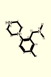 Cc1ccc(N2CCNCC2)c(CN(C)C)c1